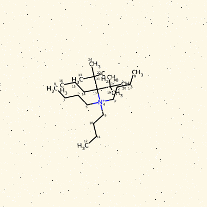 CCCC[N+](CCCC)(CCCC)C(CCC)(C(C)(C)C)C(C)(C)C